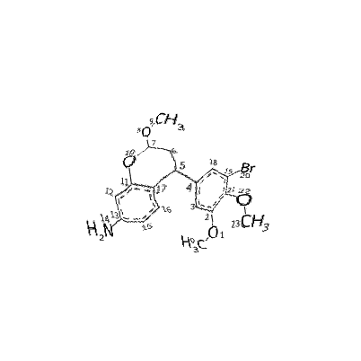 COc1cc(C2CC(OC)Oc3cc(N)ccc32)cc(Br)c1OC